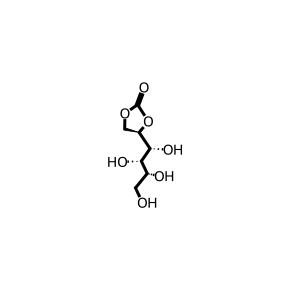 O=C1OC[C@H]([C@H](O)[C@@H](O)[C@H](O)CO)O1